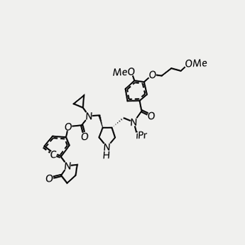 COCCCOc1cc(C(=O)N(C[C@@H]2CNC[C@H]2CN(C(=O)Oc2cccc(N3CCCC3=O)c2)C2CC2)C(C)C)ccc1OC